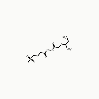 CS(=O)(=O)CCCC(=O)[N]NC(=O)CSC(CC(=O)O)C(=O)O